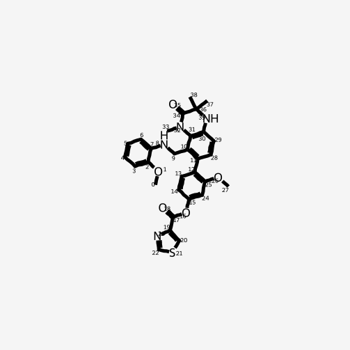 COc1ccccc1NCc1c(-c2ccc(OC(=O)c3cscn3)cc2OC)ccc2c1N(C)C(=O)C(C)(C)N2